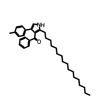 CCCCCCCCCCCCCCCCCc1[nH]cc(-c2ccc(C)cc2)c1C(=O)c1ccccc1